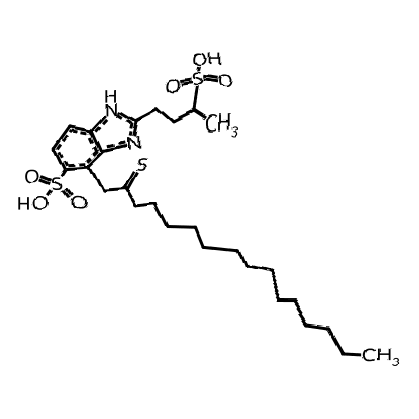 CCCCCCCCCCCCCCC(=S)Cc1c(S(=O)(=O)O)ccc2[nH]c(CCC(C)S(=O)(=O)O)nc12